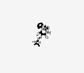 Cc1nc(N=NC2C(=O)NS(=O)(=O)N(c3ccccc3)C2=O)[nH]c1C